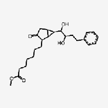 COC(=O)CCCCCCC1C(=O)CC2C1C2C(O)C(O)CCc1ccccc1